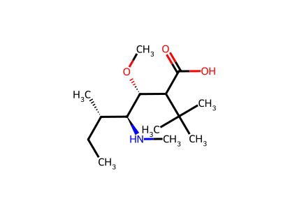 CC[C@H](C)[C@H](NC)[C@H](OC)C(C(=O)O)C(C)(C)C